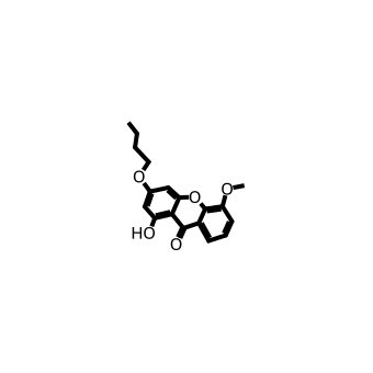 CCCCOc1cc(O)c2c(=O)c3cccc(OC)c3oc2c1